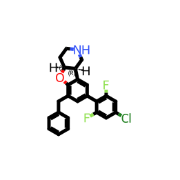 Fc1cc(Cl)cc(F)c1-c1cc(Cc2ccccc2)c2c(c1)[C@@H]1CNCC[C@@H]1O2